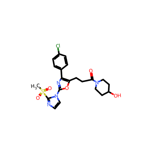 CS(=O)(=O)c1nccn1-c1nc(-c2ccc(Cl)cc2)c(CCC(=O)N2CCC(O)CC2)o1